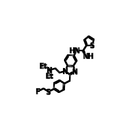 CCN(CC)CCn1c(Cc2ccc(SCF)cc2)nc2cc(NC(=N)c3cccs3)ccc21